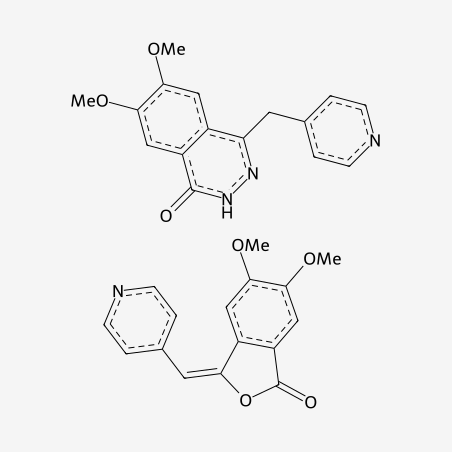 COc1cc2c(Cc3ccncc3)n[nH]c(=O)c2cc1OC.COc1cc2c(cc1OC)/C(=C\c1ccncc1)OC2=O